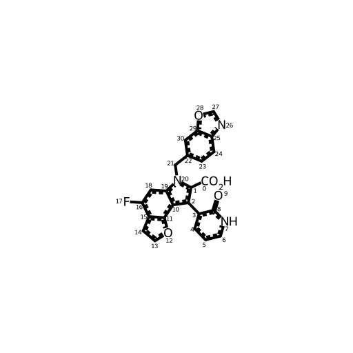 O=C(O)c1c(-c2ccc[nH]c2=O)c2c3occc3c(F)cc2n1Cc1ccc2ncoc2c1